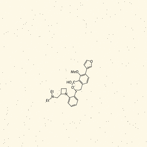 CCN(CC)CC1CCN1c1ccccc1[S+]([O-])Cc1ccc(-c2ccoc2)c(OC)c1C(=O)O